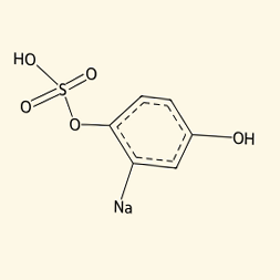 O=S(=O)(O)Oc1ccc(O)c[c]1[Na]